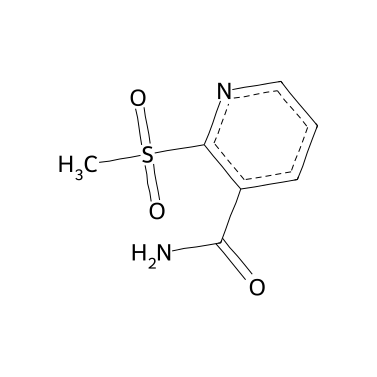 CS(=O)(=O)c1ncccc1C(N)=O